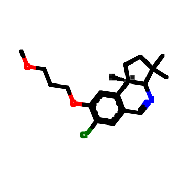 COCCCOc1cc2c(cc1Cl)C=NC1[C@@H]2CCC1(C)C